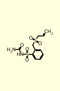 C=CCS(=O)(=O)Cc1ccccc1S(=O)(=O)NC(N)=O